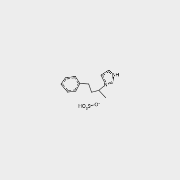 CC(CCc1ccccc1)[n+]1cc[nH]c1.O=S(=O)([O-])O